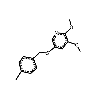 COc1cc(SCc2ccc(C)cc2)cnc1OC